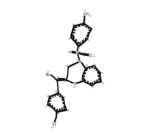 Cc1ccc(S(=O)(=O)N2C/C(=C(\Br)c3ccc(Cl)cc3)Sc3ccccc32)cc1